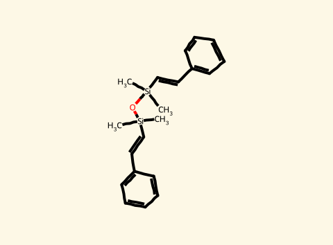 C[Si](C)(/C=C/c1ccccc1)O[Si](C)(C)/C=C/c1ccccc1